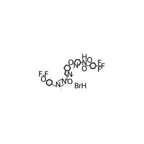 Br.COc1cc(C(F)(F)F)ccc1C(=O)Nc1ccc(Oc2ccc3cc(C(=O)N4CCN(Cc5ccc(OC(F)F)cc5)[C@@H](C)C4)n(C)c3c2)nc1